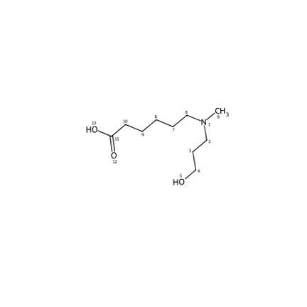 CN(CCCO)CCCCCC(=O)O